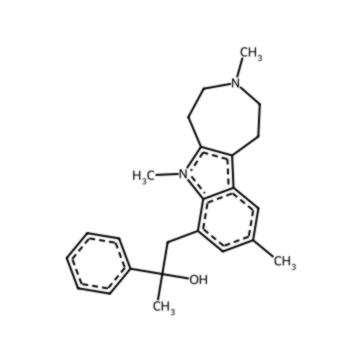 Cc1cc(CC(C)(O)c2ccccc2)c2c(c1)c1c(n2C)CCN(C)CC1